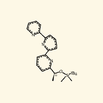 C[C@H](O[Si](C)(C)C(C)(C)C)c1cccc(-c2cccc(-c3ccccn3)n2)n1